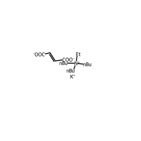 CCCC[N+](CC)(CCCC)CCCC.O=C([O-])C=CC(=O)[O-].[K+]